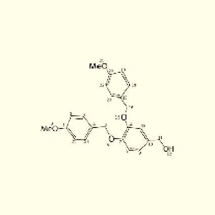 COc1ccc(COc2ccc(CO)cc2OCc2ccc(OC)cc2)cc1